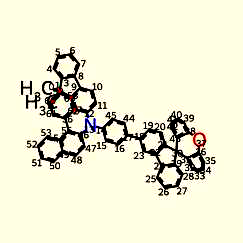 CC1(C)c2ccccc2-c2ccc(N(c3ccc(-c4ccc5c(c4)-c4ccccc4C54c5ccccc5Oc5ccccc54)cc3)c3ccc4ccccc4c3-c3ccccc3)cc21